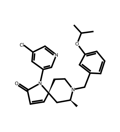 CC(C)Oc1cccc(CN2CC[C@]3(C=CC(=O)N3c3cncc(Cl)c3)C[C@@H]2C)c1